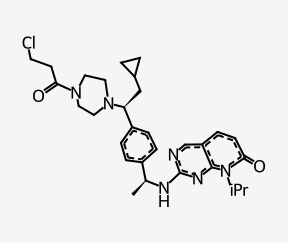 CC(C)n1c(=O)ccc2cnc(N[C@@H](C)c3ccc([C@H](CC4CC4)N4CCN(C(=O)CCCl)CC4)cc3)nc21